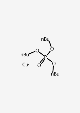 CCCCOP(=O)(OCCCC)OCCCC.[Cu]